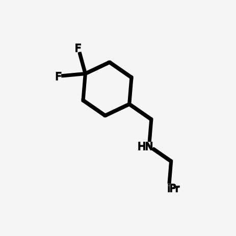 CC(C)CNCC1CCC(F)(F)CC1